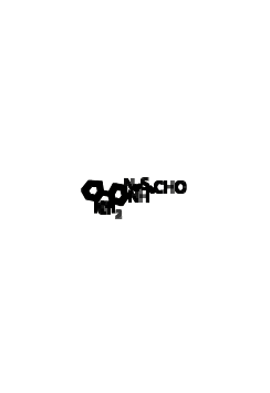 Nc1ccccc1-c1cc2nc(SCC=O)[nH]c2cc1Cl